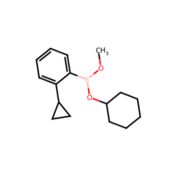 COB(OC1CCCCC1)c1ccccc1C1CC1